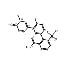 Cc1ccc(-c2c(C(N)=O)cccc2C(F)(F)F)cc1-c1cn(C)c(=O)cn1